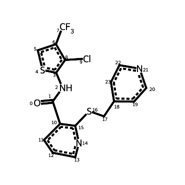 O=C(Nc1scc(C(F)(F)F)c1Cl)c1cccnc1SCc1ccncc1